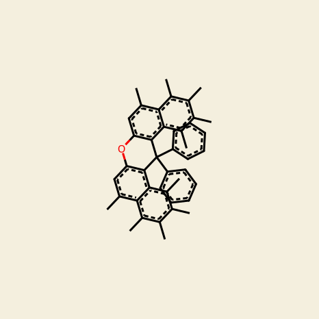 Cc1c(C)c(C)c2c3c(cc(C)c2c1C)Oc1cc(C)c2c(C)c(C)c(C)c(C)c2c1C3(c1ccccc1)c1ccccc1